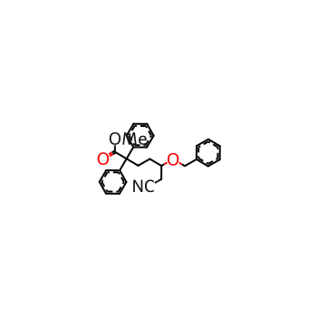 COC(=O)C(CCC(CC#N)OCc1ccccc1)(c1ccccc1)c1ccccc1